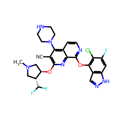 CN1C[C@@H](Oc2nc3c(Oc4c(Cl)c(F)cc5[nH]ncc45)nccc3c(N3CCNCC3)c2C#N)[C@H](C(F)F)C1